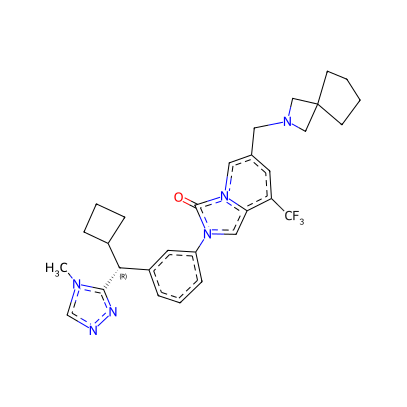 Cn1cnnc1[C@@H](c1cccc(-n2cc3c(C(F)(F)F)cc(CN4CC5(CCCC5)C4)cn3c2=O)c1)C1CCC1